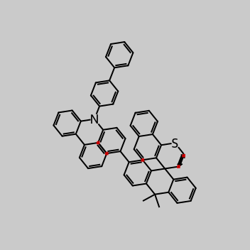 CC1(C)c2ccccc2C2(c3ccccc3Sc3c2ccc2ccccc32)c2cc(-c3ccc(N(c4ccc(-c5ccccc5)cc4)c4ccccc4-c4ccccc4)cc3)ccc21